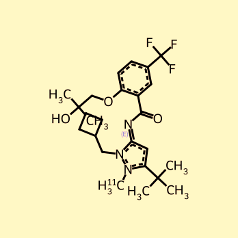 CC(C)(O)COc1ccc(C(F)(F)F)cc1C(=O)/N=c1\cc(C(C)(C)C)n([11CH3])n1CC1CCC1